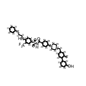 O=C(NS(=O)(=O)c1ccc(NCCSc2ccccc2)c(C(F)(F)F)c1)c1ccc(N2CCN(Cc3ccc(-c4cccc(O)c4)c(F)c3)CC2)cc1